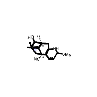 C/C=C1\[C@@H]2CC3=C(C=CC(OC)N3)[C@@]1(C#N)CC(C)C2O